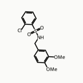 COc1ccc(CNS(=O)(=O)c2ccccc2Cl)cc1OC